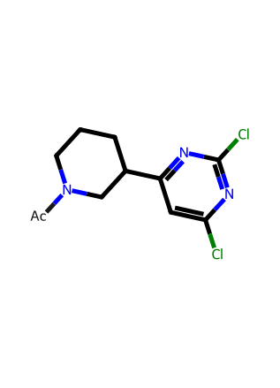 CC(=O)N1CCCC(c2cc(Cl)nc(Cl)n2)C1